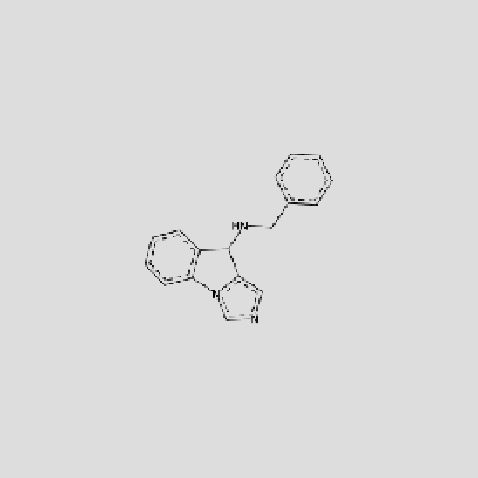 c1ccc(CNC2c3ccccc3-n3cncc32)cc1